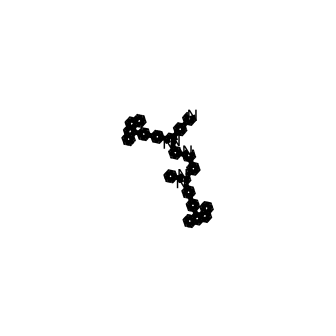 c1ccc(-c2nc(-c3ccc(-c4ccc(-c5c6ccccc6cc6ccc7ccccc7c56)cc4)cc3)cc(-c3cccc(-c4ccnc(-c5cccc(-c6nc(-c7ccc(-c8ccncc8)cc7)cc(-c7ccc(-c8ccc(-c9c%10ccccc%10cc%10ccc%11ccccc%11c9%10)cc8)cc7)n6)c5)c4)c3)n2)cc1